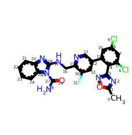 Cc1nc(-c2c(Cl)cc(Cl)cc2-c2cnc(CNc3nc4ccccc4n3C(N)=O)c(F)c2)no1